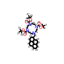 CC(C)(C)OC(=O)N1CCN(Cc2ccc3ccc4cccc5ccc2c3c45)CCN(C(=O)OC(C)(C)C)CCN(C(=O)OC(C)(C)C)CC1